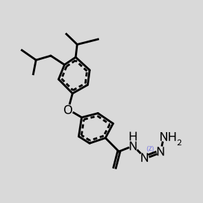 C=C(N/N=N\N)c1ccc(Oc2ccc(C(C)C)c(CC(C)C)c2)cc1